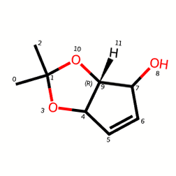 CC1(C)OC2C=CC(O)[C@H]2O1